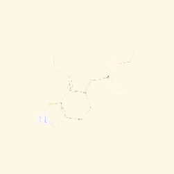 CCOC(=O)c1sc(SC)c2c1CCc1cnsc1-2